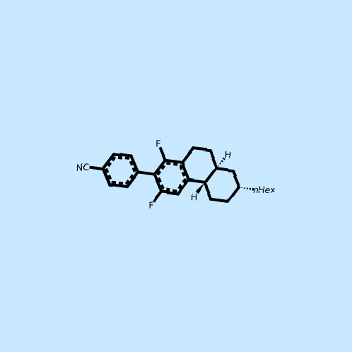 CCCCCC[C@@H]1CC[C@@H]2c3cc(F)c(-c4ccc(C#N)cc4)c(F)c3CC[C@H]2C1